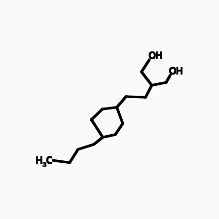 CCCCC1CCC(CCC(CO)CO)CC1